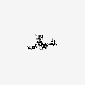 CNC[C@@H](O)COc1ccc(Cl)c(-c2nc(-c3c(C)c(Br)nn3C)c(C)c(N3CC4(CC(OC(F)(F)F)C4)C3)n2)c1